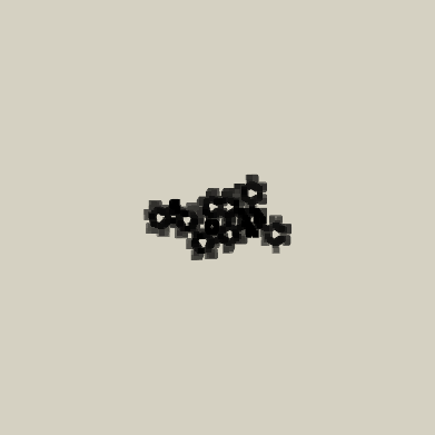 c1ccc(-c2nc(-c3ccccc3)nc(-c3ccc4c(oc5c(-c6ccc7sc8ccccc8c7c6)cccc54)c3-c3cccc4ccccc34)n2)cc1